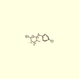 CCC1O[C@@H](Sc2ccc(Cl)cc2)C(C)[C@@H](C)[C@@H]1C